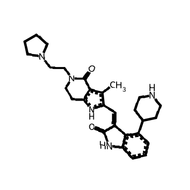 Cc1c(C=C2C(=O)Nc3cccc(C4CCNCC4)c32)[nH]c2c1C(=O)N(CCN1CCCC1)CC2